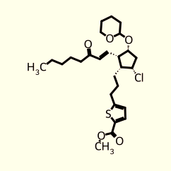 CCCCCC(=O)C=C[C@H]1[C@@H](CCCc2ccc(C(=O)OC)s2)[C@@H](Cl)C[C@H]1OC1CCCCO1